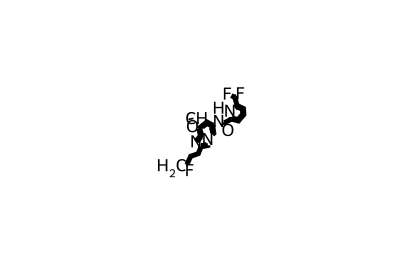 C=C(F)CCc1cn2cc(NC(=O)c3cccc(C(F)F)n3)cc(OC)c2n1